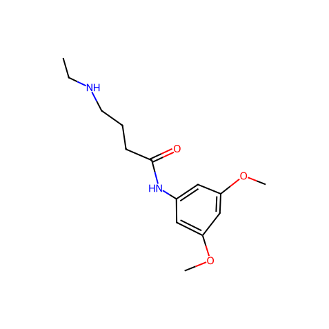 CCNCCCC(=O)Nc1cc(OC)cc(OC)c1